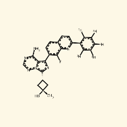 [2H]c1c([2H])c([2H])c(-c2ccc3ccc(-c4nc([C@H]5C[C@@](C)(O)C5)n5ncnc(N)c45)c(F)c3n2)c([2H])c1[2H]